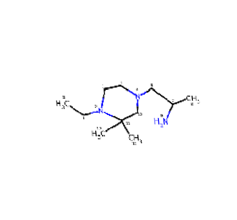 CCN1CCN(CC(C)N)CC1(C)C